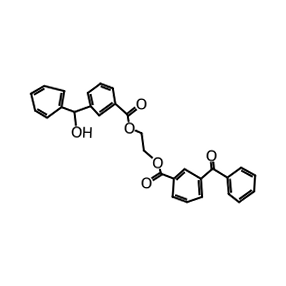 O=C(OCCOC(=O)c1cccc(C(O)c2ccccc2)c1)c1cccc(C(=O)c2ccccc2)c1